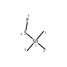 [CH3][Sn]([CH3])([CH3])[S]F